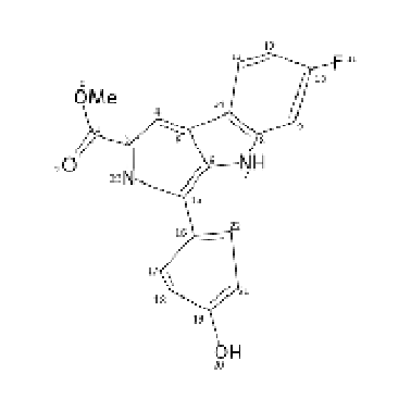 COC(=O)c1cc2c([nH]c3cc(F)ccc32)c(-c2ccc(O)cc2)n1